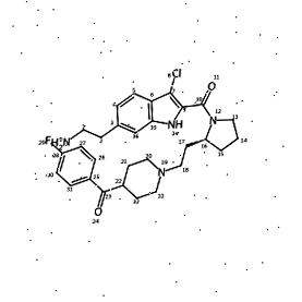 NCCc1ccc2c(Cl)c(C(=O)N3CCC[C@H]3CCN3CCC(C(=O)c4ccc(F)cc4)CC3)[nH]c2c1